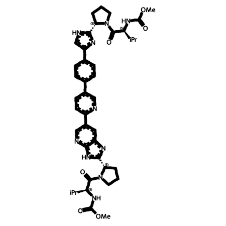 COC(=O)N[C@H](C(=O)N1CCC[C@H]1c1nc(-c2ccc(-c3ccc(-c4cnc5[nH]c([C@@H]6CCCN6C(=O)[C@@H](NC(=O)OC)C(C)C)nc5c4)nc3)cc2)c[nH]1)C(C)C